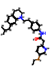 CCSc1ccc(CC(=O)Nc2ccc(CCN3CCCc4ccc(CC(C)C)cc43)cc2)nc1